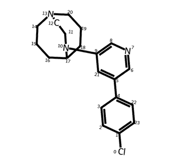 Clc1ccc(-c2cncc(N3CCN4CCCC3CCC4)c2)cc1